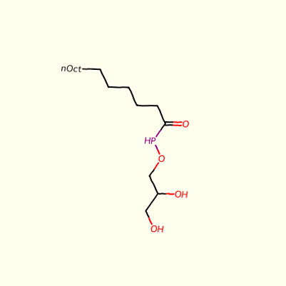 CCCCCCCCCCCCCC(=O)POCC(O)CO